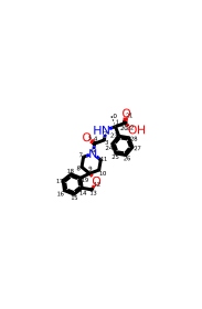 C[C@](NCC(=O)N1CCC2(CC1)OCc1ccccc12)(C(=O)O)c1ccccc1